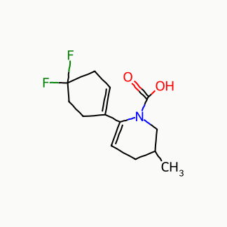 CC1CC=C(C2=CCC(F)(F)CC2)N(C(=O)O)C1